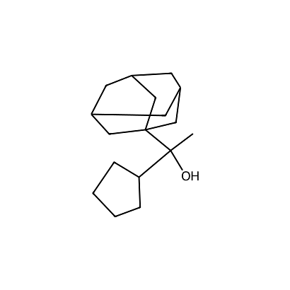 CC(O)(C1CCCC1)C12CC3CC(CC(C3)C1)C2